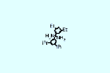 CCc1cc(CC)cc(C(N)(N)c2cc(C(C)C)cc(C(C)C)c2)c1